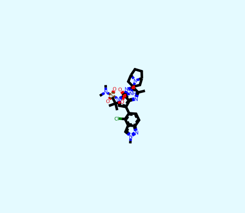 Cc1nc2c(-c3ccc4nn(C)cc4c3Cl)cn(S(=O)(=O)N(C)C)c2nc1N1C2CCC1CC(NC(=O)OC(C)(C)C)C2